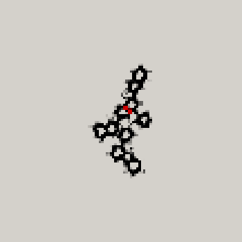 c1ccc(N(c2ccc(-c3cccc4c3sc3ccccc34)cc2)c2cccc3oc4c5ccccc5ccc4c23)c(-c2ccc3oc4cc5ccccc5cc4c3c2)c1